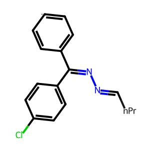 CCCC=NN=C(c1cc[c]cc1)c1ccc(Cl)cc1